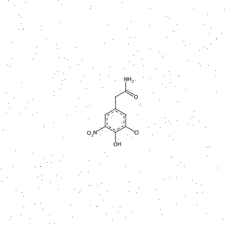 NC(=O)Cc1cc(Cl)c(O)c([N+](=O)[O-])c1